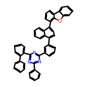 c1ccc(-c2nc(-c3cccc(-c4ccc(-c5cccc6c5oc5ccccc56)c5ccccc45)c3)nc(-c3ccccc3-c3ccccc3)n2)cc1